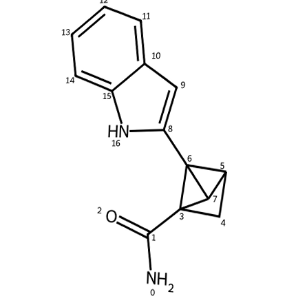 NC(=O)C12CC(C1)C2c1cc2ccccc2[nH]1